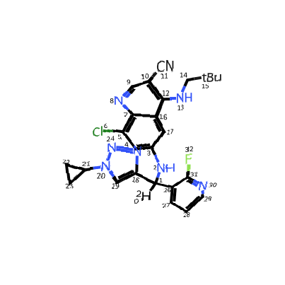 [2H]C(Nc1cc(Cl)c2ncc(C#N)c(NCC(C)(C)C)c2c1)(c1cn(C2CC2)nn1)c1cccnc1F